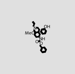 C=CCN1CC[C@@]2(c3cccc(O)c3)C[C@H](NC(=O)OCc3ccccc3)CC[C@]2(OC)C1